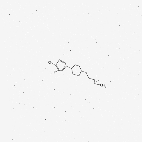 CCCCCC1CCC(c2ccc(Cl)c(F)c2)CC1